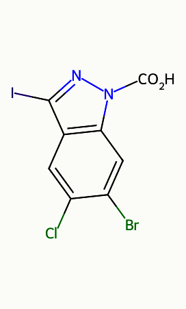 O=C(O)n1nc(I)c2cc(Cl)c(Br)cc21